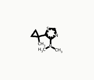 CN(C)c1n[c]sc1C1(C)CC1